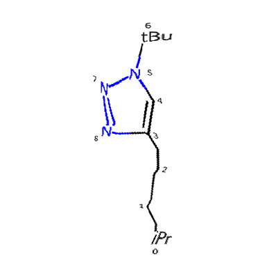 CC(C)CCc1cn(C(C)(C)C)nn1